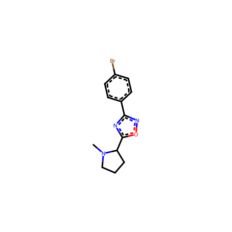 CN1CCCC1c1nc(-c2ccc(Br)cc2)no1